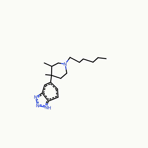 CCCCCCN1CCC(C)(c2ccc3[nH]nnc3c2)C(C)C1